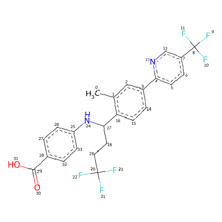 Cc1cc(-c2ccc(C(F)(F)F)cn2)ccc1C(CCC(F)(F)F)Nc1ccc(C(=O)O)cc1